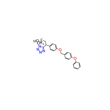 Cn1nnnc1C(CC(=O)O)c1ccc(OCc2ccc(Oc3ccccc3)cc2)cc1